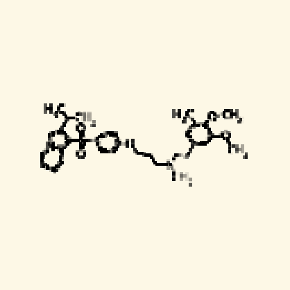 COc1cc(CCN(C)CCCOc2ccc(S(=O)(=O)c3c(C(C)C)cn4ccccc34)cc2)cc(C)c1OC